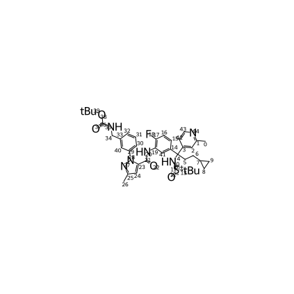 Cc1cc(C(CCC2CC2)(N[S@+]([O-])C(C)(C)C)c2ccc(F)c(NC(=O)c3cc(C)nn3-c3cccc(CNC(=O)OC(C)(C)C)c3)c2)ccn1